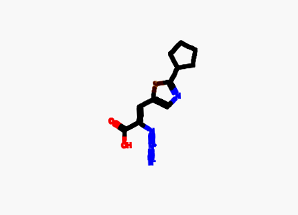 [N-]=[N+]=N/C(=C\c1cnc(C2CCCC2)s1)C(=O)O